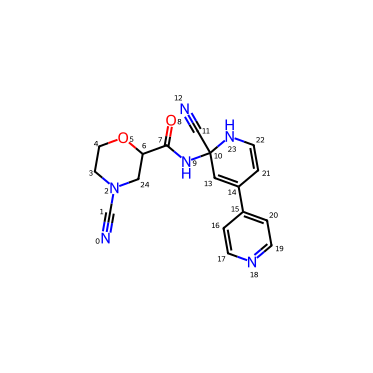 N#CN1CCOC(C(=O)NC2(C#N)C=C(c3ccncc3)C=CN2)C1